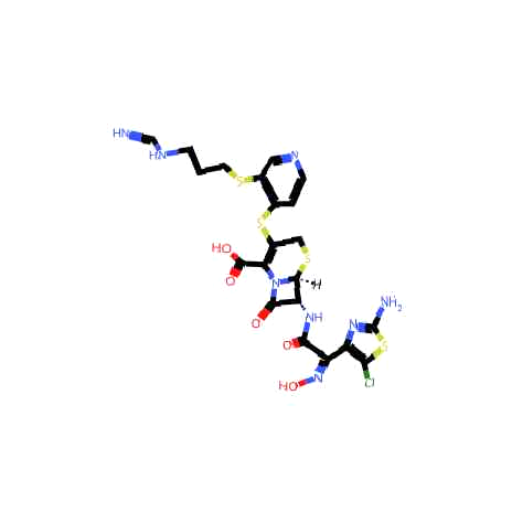 N=CNCCCSc1cnccc1SC1=C(C(=O)O)N2C(=O)[C@@H](NC(=O)/C(=N\O)c3nc(N)sc3Cl)[C@@H]2SC1